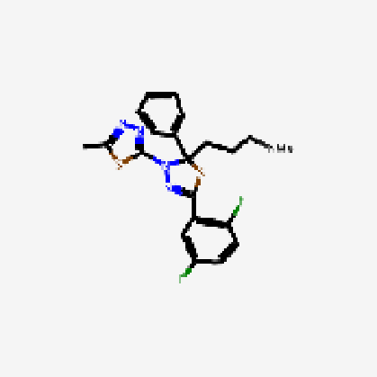 CNCCCC1(c2ccccc2)SC(c2cc(F)ccc2F)=NN1c1nnc(C)s1